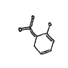 [O]C1=CC=CCC1=S(=O)=O